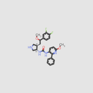 COc1ccc(NC(=O)N[C@@H]2CNC[C@H]2CC(OC)c2ccc(F)c(F)c2)c(-c2ccccc2)n1